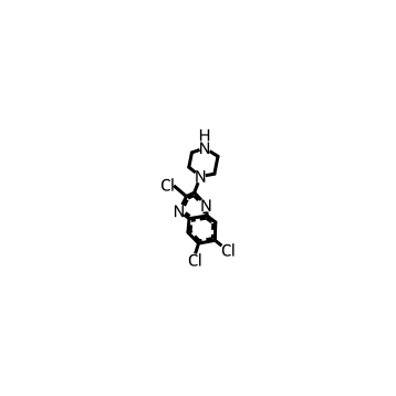 Clc1cc2nc(Cl)c(N3CCNCC3)nc2cc1Cl